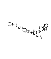 Nc1nc(NCc2ccc(CNCCCNC3CCCCC3)cc2)ncc1CNCc1nc2ccccc2[nH]1